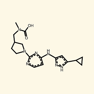 CN(CC1CCN(c2nccc(Nc3cc(C4CC4)[nH]n3)n2)C1)C(=O)O